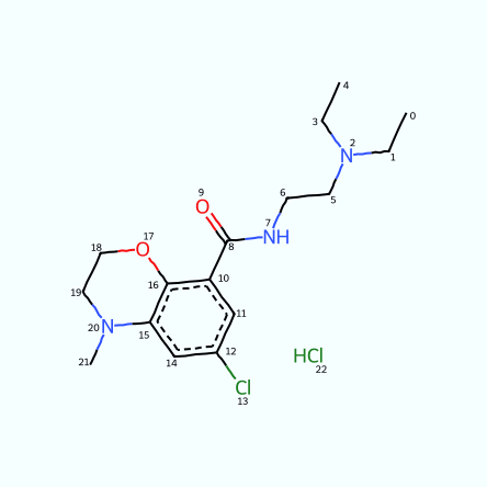 CCN(CC)CCNC(=O)c1cc(Cl)cc2c1OCCN2C.Cl